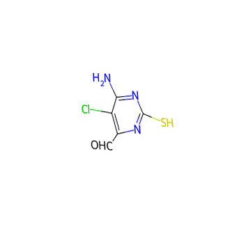 Nc1nc(S)nc(C=O)c1Cl